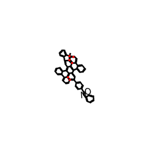 CC1(C)c2ccccc2-c2cc3c(-c4ccccc4-c4ccccc4)c4ccc(-c5ccc(-c6nc7ccccc7o6)cc5)cc4c(-c4ccccc4-c4ccccc4)c3cc21